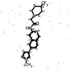 Cn1cc(-c2ccc3cnc(NC(=O)CN4CCC(C(F)(F)F)CC4)cc3c2)cn1